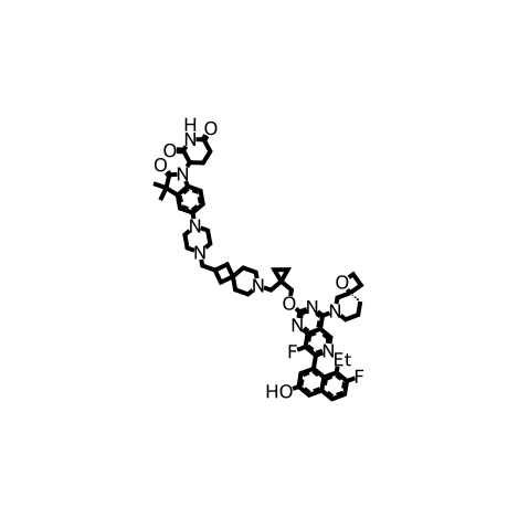 CCc1c(F)ccc2cc(O)cc(-c3ncc4c(N5CCC[C@]6(CCO6)C5)nc(OCC5(CN6CCC7(CC6)CC(CN6CCN(c8ccc9c(c8)C(C)(C)C(=O)N9C8CCC(=O)NC8=O)CC6)C7)CC5)nc4c3F)c12